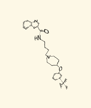 O=C(NCCCCN1CCC(Oc2cccc(C(F)(F)F)c2)CC1)c1cnc2ccccc2c1